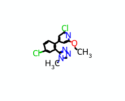 CCOc1cc(-c2ccc(Cl)cc2-c2nncn2C)cc(Cl)n1